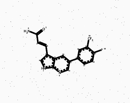 NC(=O)C=Cc1c[nH]c2ncc(-c3ccc(F)c(C(F)(F)F)c3)cc12